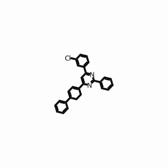 Clc1cccc(-c2cc(C3=CC=C(c4ccccc4)CC3)nc(-c3ccccc3)n2)c1